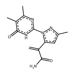 C=C(C(N)=O)c1cc(C)nn1-c1nc(C)c(C)c(=O)[nH]1